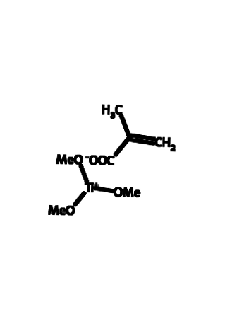 C=C(C)C(=O)[O-].C[O][Ti+]([O]C)[O]C